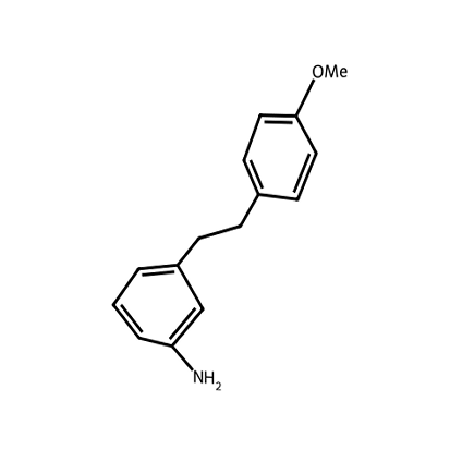 COc1ccc(CCc2cccc(N)c2)cc1